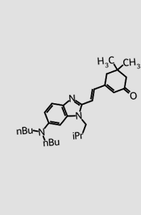 CCCCN(CCCC)c1ccc2nc(/C=C/C3=CC(=O)CC(C)(C)C3)n(CC(C)C)c2c1